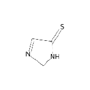 S=C1C=NCN1